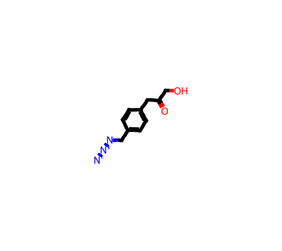 [N-]=[N+]=NCc1ccc(CC(=O)CO)cc1